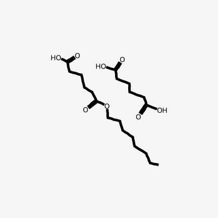 CCCCCCCCOC(=O)CCCCC(=O)O.O=C(O)CCCCC(=O)O